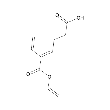 C=COC(=O)C(C=C)=CCCC(=O)O